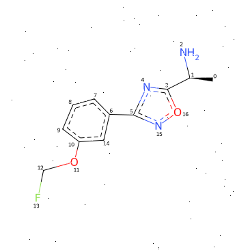 C[C@H](N)c1nc(-c2cccc(OCF)c2)no1